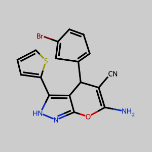 N#CC1=C(N)Oc2n[nH]c(-c3cccs3)c2C1c1cccc(Br)c1